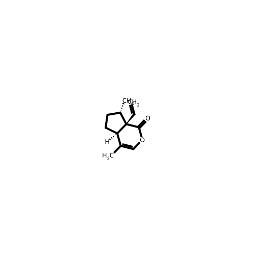 C=C[C@@]12C(=O)OC=C(C)[C@H]1CC[C@@H]2C